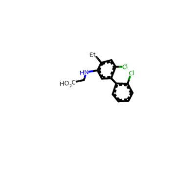 CCc1cc(Cl)c(-c2ccccc2Cl)cc1NCC(=O)O